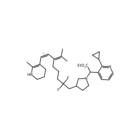 CCOC(=O)C(c1cccnc1C1CC1)N1CCC(CC(F)(F)CCCC(/C=C\C2=C(C)NCCC2)=C(C)C)C1